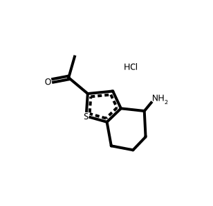 CC(=O)c1cc2c(s1)CCCC2N.Cl